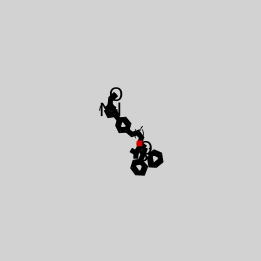 C[C@H](CCO[Si](c1ccccc1)(c1ccccc1)C(C)(C)C)Cc1ccc(-c2cn(C)c(C=O)n2)cc1